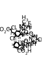 CCOC(=O)C(Cl)Cc1cc(-n2nc(C)n(C(F)F)c2=O)c(F)cc1Cl.COc1nc(C)nc(NC(=O)NS(=O)(=O)c2ccccc2C(=O)O)n1